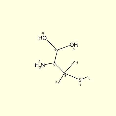 CSC(C)(C)C(N)C(O)O